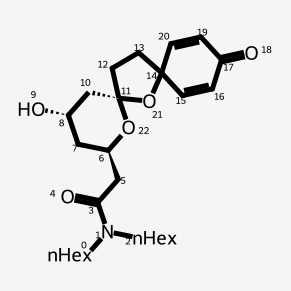 CCCCCCN(CCCCCC)C(=O)C[C@H]1C[C@H](O)C[C@@]2(CCC3(C=CC(=O)C=C3)O2)O1